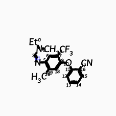 CCN(C)/C=N\c1cc(C(F)(F)F)c(Oc2ccccc2C#N)cc1C